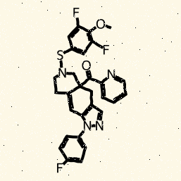 COc1c(F)cc(SN2CCC3=Cc4c(cnn4-c4ccc(F)cc4)CC3(C(=O)c3ccccn3)C2)cc1F